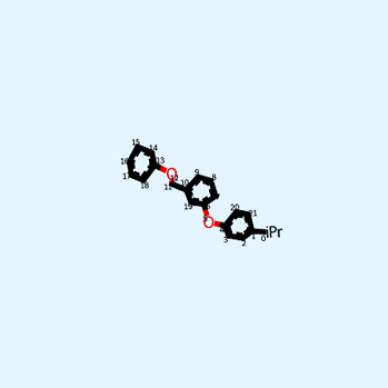 CC(C)c1ccc(Oc2cccc(COc3ccccc3)c2)cc1